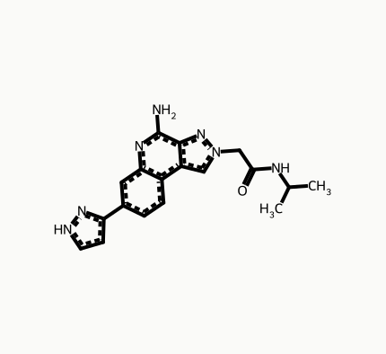 CC(C)NC(=O)Cn1cc2c(n1)c(N)nc1cc(-c3cc[nH]n3)ccc12